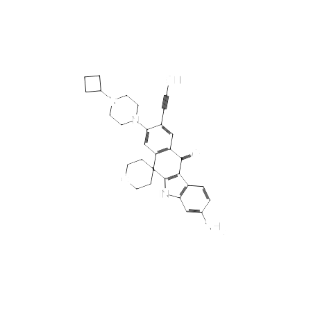 CC#Cc1cc2c(cc1N1CCN(C3CCC3)CC1)C1(CCOCC1)c1[nH]c3cc(N)ccc3c1C2=O